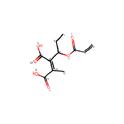 C=CC(=O)OC(CC)/C(C(=O)O)=C(\C)C(=O)O